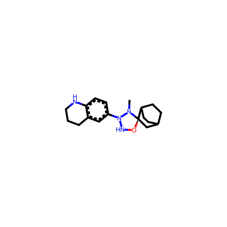 CN1N(c2ccc3c(c2)CCCN3)NO[C@@]12CC1CCC2CC1